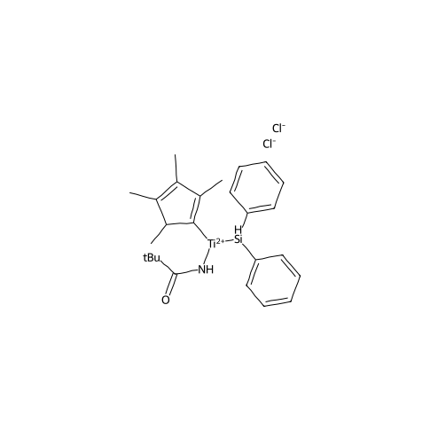 CC1=C(C)C(C)[C]([Ti+2]([NH]C(=O)C(C)(C)C)[SiH](c2ccccc2)c2ccccc2)=C1C.[Cl-].[Cl-]